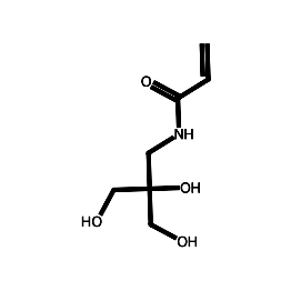 C=CC(=O)NCC(O)(CO)CO